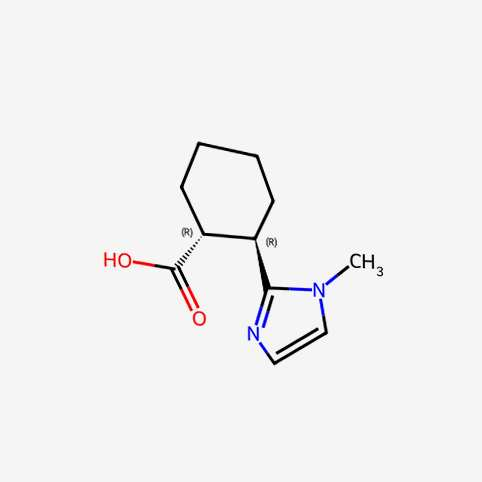 Cn1ccnc1[C@@H]1CCCC[C@H]1C(=O)O